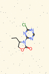 CCC1COC(=O)N1c1ncnc(Cl)n1